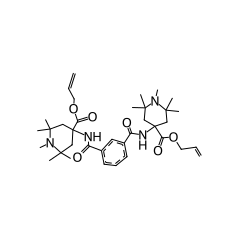 C=CCOC(=O)C1(NC(=O)c2cccc(C(=O)NC3(C(=O)OCC=C)CC(C)(C)N(C)C(C)(C)C3)c2)CC(C)(C)N(C)C(C)(C)C1